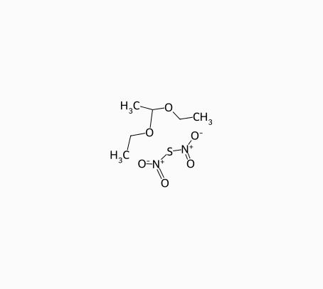 CCOC(C)OCC.O=[N+]([O-])S[N+](=O)[O-]